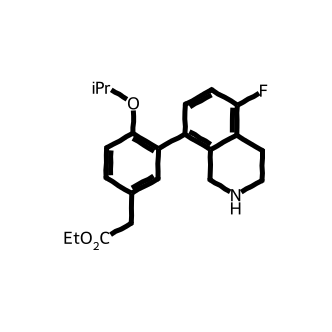 CCOC(=O)Cc1ccc(OC(C)C)c(-c2ccc(F)c3c2CNCC3)c1